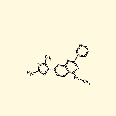 CNc1nc(-c2cccnc2)nc2cc(-c3cc(C)oc3C)ccc12